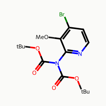 COc1c(Br)ccnc1N(C(=O)OC(C)(C)C)C(=O)OC(C)(C)C